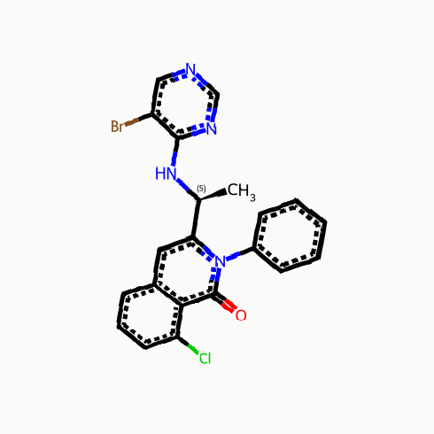 C[C@H](Nc1ncncc1Br)c1cc2cccc(Cl)c2c(=O)n1-c1ccccc1